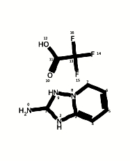 NC1NC2=CC=CCN2N1.O=C(O)C(F)(F)F